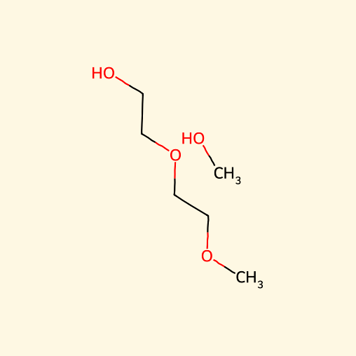 CO.COCCOCCO